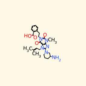 CC(C)=CCn1c(N2CCCC(N)C2)nc2c1c(=O)n(CCc1ccccc1C(=O)O)c(=O)n2C